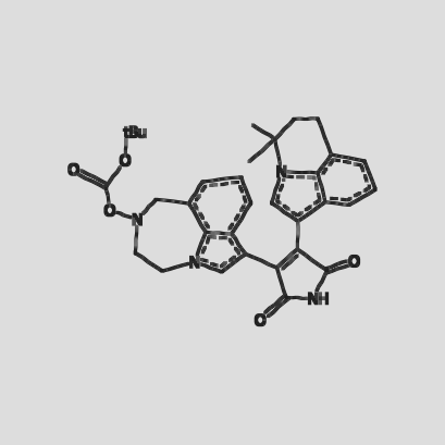 CC(C)(C)OC(=O)ON1CCn2cc(C3=C(c4cn5c6c(cccc46)CCC5(C)C)C(=O)NC3=O)c3cccc(c32)C1